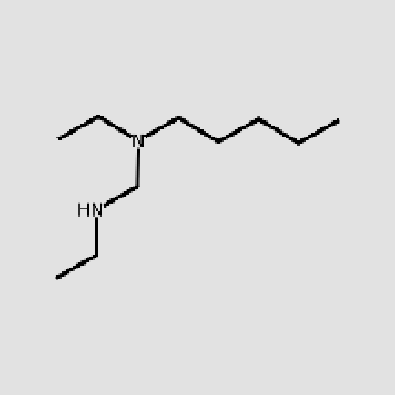 CCCCCN(CC)CNCC